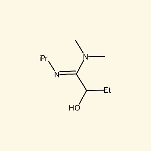 CCC(O)C(=NC(C)C)N(C)C